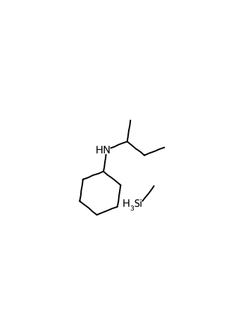 CCC(C)NC1CCCCC1.C[SiH3]